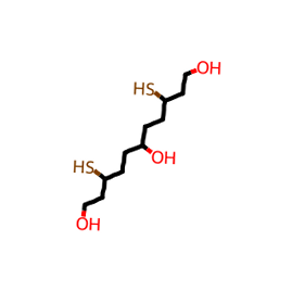 OCCC(S)CCC(O)CCC(S)CCO